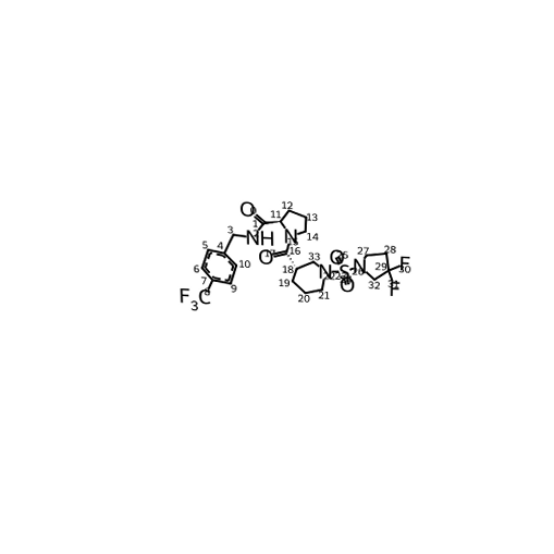 O=C(NCc1ccc(C(F)(F)F)cc1)[C@H]1CCCN1C(=O)[C@H]1CCCN(S(=O)(=O)N2CCC(F)(F)C2)C1